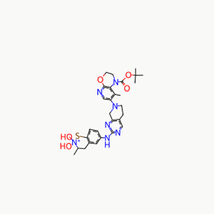 Cc1c(N2CCc3cnc(Nc4ccc5c(c4)CC(C)[N+](O)(O)S5)nc3C2)cnc2c1N(C(=O)OC(C)(C)C)CCO2